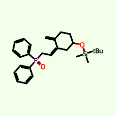 C=C1CCC(O[Si](C)(C)C(C)(C)C)C/C1=C/CP(=O)(c1ccccc1)c1ccccc1